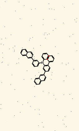 c1ccc(-c2ccc(-c3ccc4ccccc4c3)cc2N(c2ccccc2)c2cccc(-c3ccc4ccccc4c3)c2)cc1